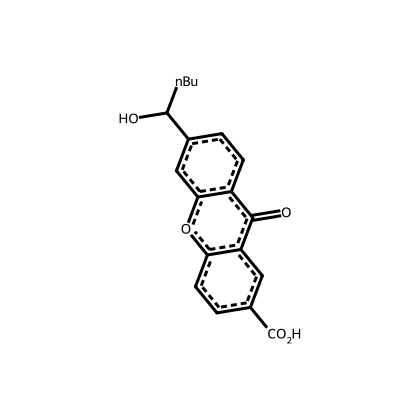 CCCCC(O)c1ccc2c(=O)c3cc(C(=O)O)ccc3oc2c1